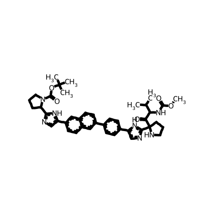 COC(=O)NC(C(=O)C1(c2ncc(-c3ccc(-c4ccc5cc(-c6cnc(C7CCCN7C(=O)OC(C)(C)C)[nH]6)ccc5c4)cc3)[nH]2)CCCN1)C(C)C